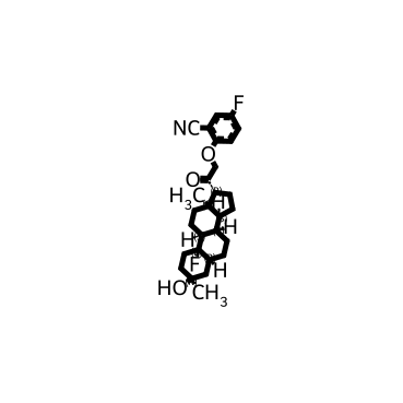 C[C@@]1(O)CC[C@@]2(F)[C@H](CC[C@H]3[C@@H]4CC[C@@H](C(=O)COc5ccc(F)cc5C#N)[C@@]4(C)CC[C@@H]32)C1